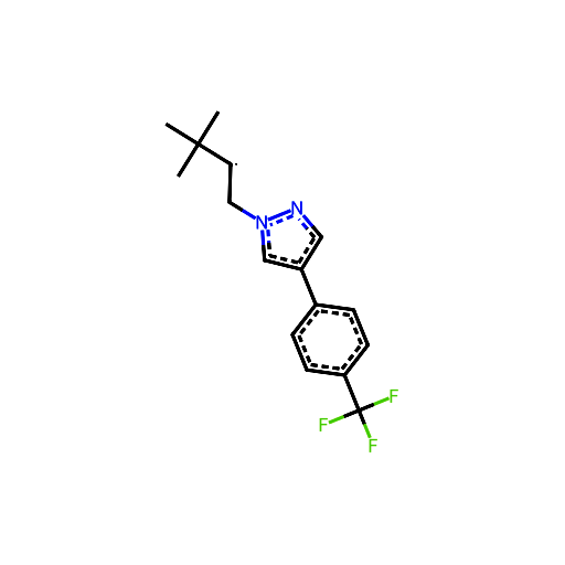 CC(C)(C)[CH]Cn1cc(-c2ccc(C(F)(F)F)cc2)cn1